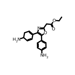 CCOC(=O)Cc1nc(C2=CCC(N)C=C2)c(-c2ccc(N)cc2)o1